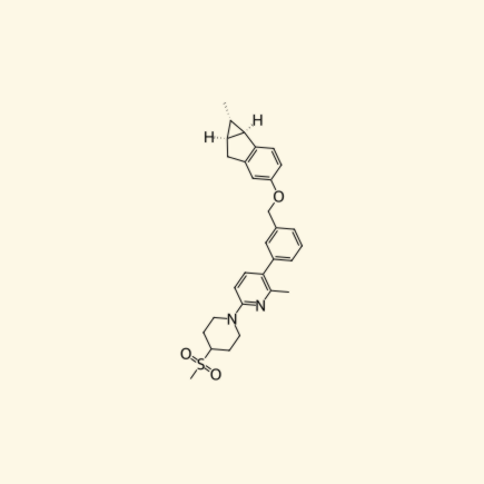 Cc1nc(N2CCC(S(C)(=O)=O)CC2)ccc1-c1cccc(COc2ccc3c(c2)C[C@H]2[C@H](C)[C@@H]32)c1